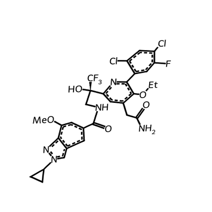 CCOc1c(CC(N)=O)cc([C@@](O)(CNC(=O)c2cc(OC)c3nn(C4CC4)cc3c2)C(F)(F)F)nc1-c1cc(F)c(Cl)cc1Cl